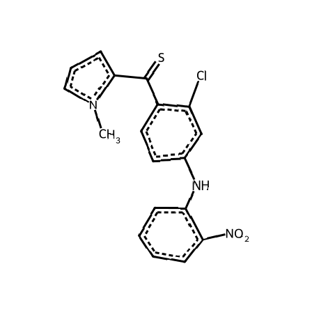 Cn1cccc1C(=S)c1ccc(Nc2ccccc2[N+](=O)[O-])cc1Cl